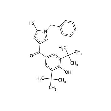 CC(C)(C)c1cc(C(=O)c2cc(S)n(Cc3ccccc3)c2)cc(C(C)(C)C)c1O